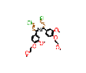 COCCOc1ccc([CH](SSCl)[Ni][CH](SSCl)c2ccc(OCCOC)c(OC)c2)cc1OC